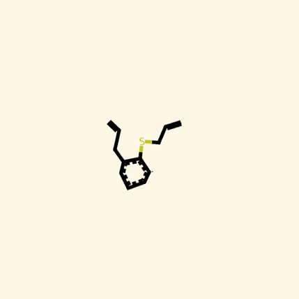 C=CCSc1[c]cccc1CC=C